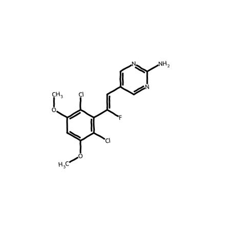 COc1cc(OC)c(Cl)c(/C(F)=C/c2cnc(N)nc2)c1Cl